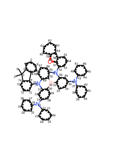 CC1(C)c2ccccc2-c2c(N3c4cc(N(c5ccccc5)c5ccccc5)ccc4B4c5ccc(N(c6ccccc6)c6ccccc6)cc5N(c5cccc6c5oc5ccccc56)c5cccc3c54)cccc21